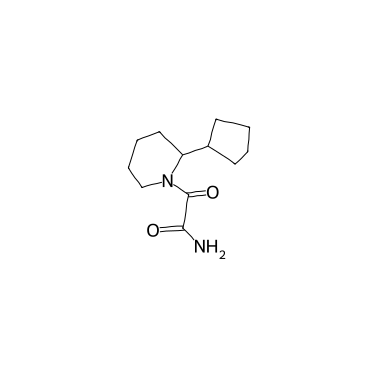 NC(=O)C(=O)N1CCCCC1C1CCCC1